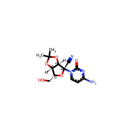 CC1(C)O[C@H]2[C@@H](O1)[C@](C#N)(n1ccc(N)nc1=O)O[C@@H]2CO